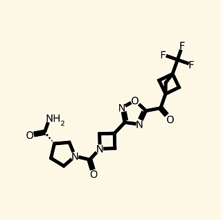 NC(=O)[C@H]1CCN(C(=O)N2CC(c3noc(C(=O)C45CC(C(F)(F)F)(C4)C5)n3)C2)C1